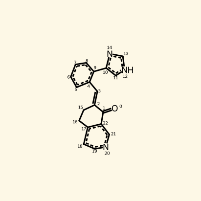 O=C1/C(=C/c2ccccc2-c2c[nH]cn2)CCc2ccncc21